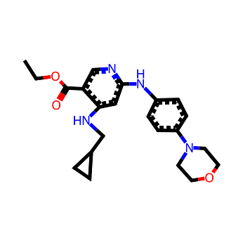 CCOC(=O)c1cnc(Nc2ccc(N3CCOCC3)cc2)cc1NCC1CC1